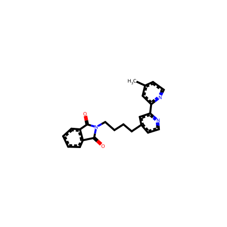 Cc1ccnc(-c2cc(CCCCN3C(=O)c4ccccc4C3=O)ccn2)c1